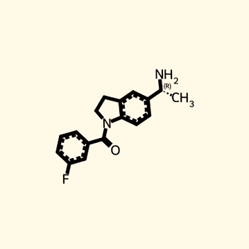 C[C@@H](N)c1ccc2c(c1)CCN2C(=O)c1cccc(F)c1